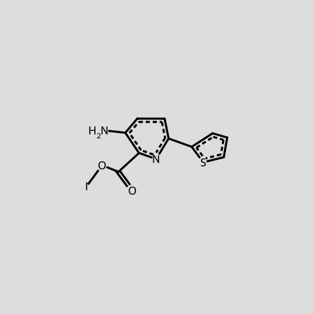 Nc1ccc(-c2cccs2)nc1C(=O)OI